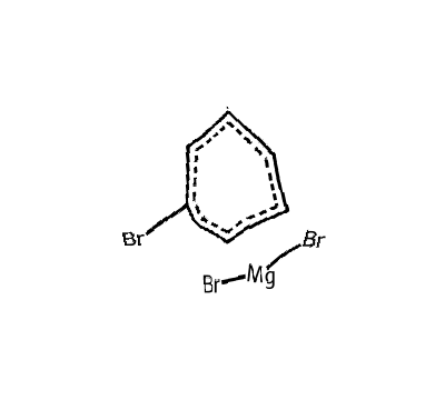 Brc1c[c]ccc1.[Br][Mg][Br]